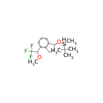 COC(c1cccc2c1CC[C@@H]2O[SiH](C)C(C)(C)C)C(F)(F)F